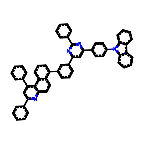 c1ccc(-c2cc(-c3ccccc3)c3c(ccc4c(-c5cccc(-c6cc(-c7ccc(-n8c9ccccc9c9ccccc98)cc7)nc(-c7ccccc7)n6)c5)cccc43)n2)cc1